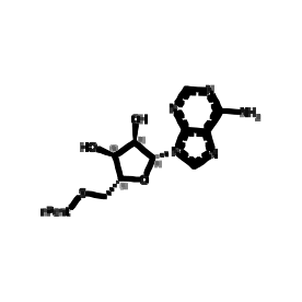 CCCCCSC[C@H]1O[C@@H](n2cnc3c(N)ncnc32)[C@H](O)[C@@H]1O